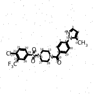 Cc1ccnn1-c1ccc(C(=O)N2CCN(S(=O)(=O)c3ccc(Cl)c(C(F)(F)F)c3)CC2)cc1